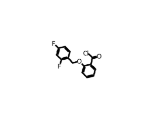 O=C(Cl)c1ccccc1OCc1ccc(F)cc1F